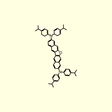 CC(C)C1=CCC(N(C2=CC=C(C(C)C)CC2)c2ccc3cc4c(cc3c2)oc2cc3cc(N(c5ccc(C(C)C)cc5)c5ccc(C(C)C)cc5)ccc3cc24)C=C1